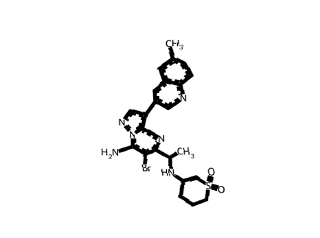 Cc1ccc2ncc(-c3cnn4c(N)c(Br)c(C(C)NC5CCCS(=O)(=O)C5)nc34)cc2c1